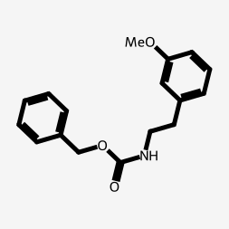 COc1cccc(CCNC(=O)OCc2ccccc2)c1